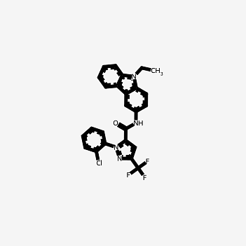 CCn1c2ccccc2c2cc(NC(=O)c3cc(C(F)(F)F)nn3-c3ccccc3Cl)ccc21